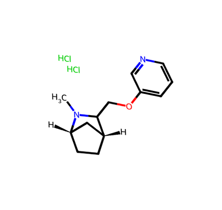 CN1C(COc2cccnc2)[C@@H]2CC[C@H]1C2.Cl.Cl